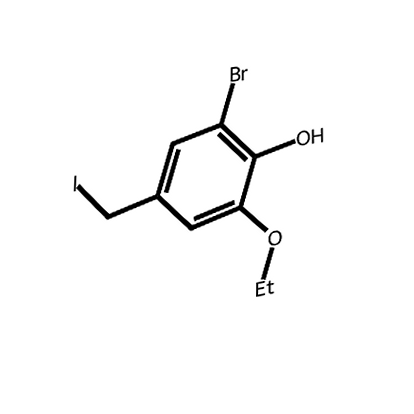 CCOc1cc(CI)cc(Br)c1O